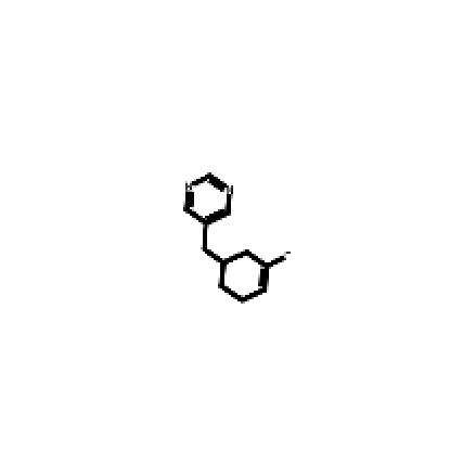 FC1=CCCC(Cc2cncnc2)C1